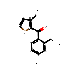 Cc1ccccc1C(=O)c1sccc1C